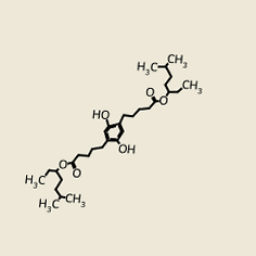 CCC(CCC(C)C)OC(=O)CCCCc1cc(O)c(CCCCC(=O)OC(CC)CCC(C)C)cc1O